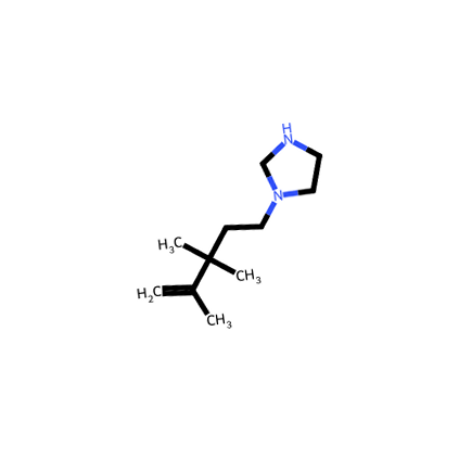 C=C(C)C(C)(C)CCN1CCNC1